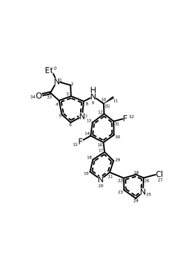 CCN1Cc2c(ccnc2N[C@@H](C)c2cc(F)c(-c3ccnc(-c4ccnc(Cl)c4)c3)cc2F)C1=O